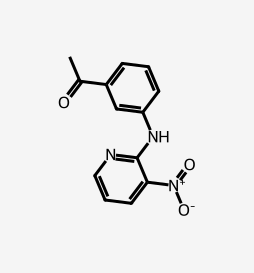 CC(=O)c1cccc(Nc2ncccc2[N+](=O)[O-])c1